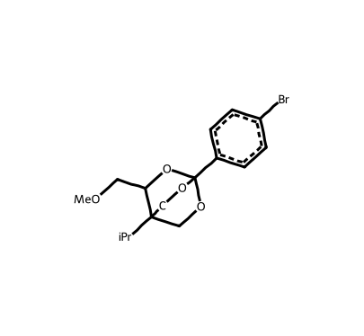 COCC1OC2(c3ccc(Br)cc3)OCC1(C(C)C)CO2